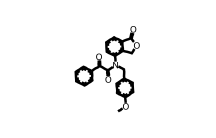 COc1ccc(CN(C(=O)C(=O)c2ccccc2)c2cccc3c2COC3=O)cc1